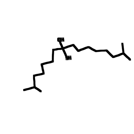 CC(C)CCCCCCC(O)(S)CCCCCC(C)C